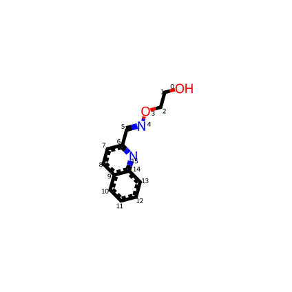 OCCON=Cc1ccc2ccccc2n1